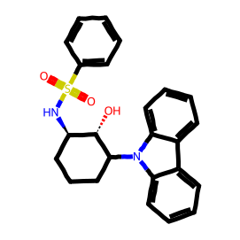 O=S(=O)(N[C@@H]1CCCC(n2c3ccccc3c3ccccc32)[C@H]1O)c1ccccc1